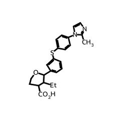 CCC1C(C(=O)O)CCOC1c1cccc(Sc2ccc(-n3ccnc3C)cc2)c1